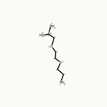 NCCOCCOC[C@H](N)O